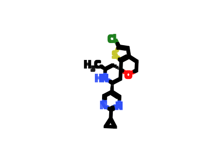 C[C@H]1C[C@@]2(C[C@@H](c3cnc(C4CC4)nc3)N1)OCCc1cc(Cl)sc12